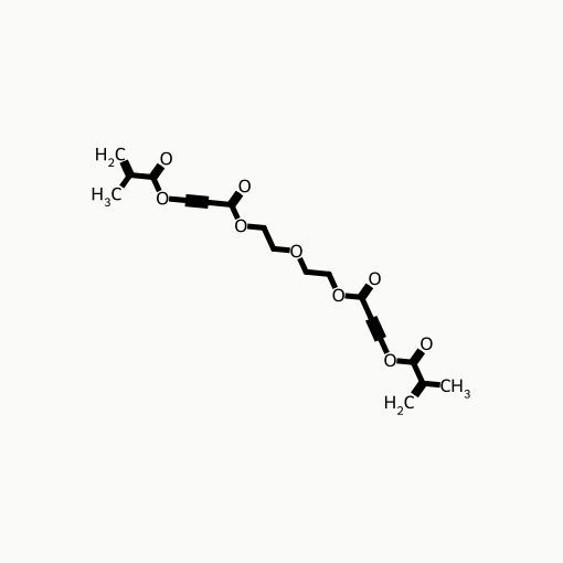 C=C(C)C(=O)OC#CC(=O)OCCOCCOC(=O)C#COC(=O)C(=C)C